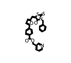 O=C(OCc1cccnc1)c1ccc(-c2ccc(C=C3SC(=S)N(Cc4ccccc4)C3=O)o2)cc1